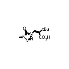 Cn1nnn(/C=C(\C(=O)O)C(C)(C)C)c1=O